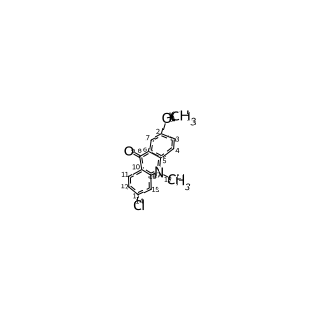 COc1ccc2c(c1)c(=O)c1ccc(Cl)cc1n2C